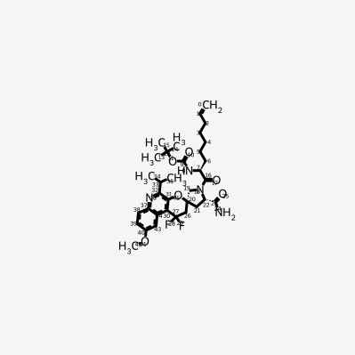 C=CCCCCC[C@H](NC(=O)OC(C)(C)C)C(=O)N1C[C@]2(C[C@H]1C(N)=O)CC(F)(F)c1c(c(C(C)C)nc3ccc(OC)cc13)O2